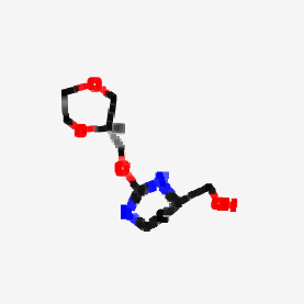 OCc1ccnc(OC[C@H]2COCCO2)n1